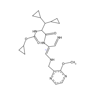 COc1nccnc1CN/C=C(\C=N)NC(=O)C(NC(=O)OC1CC1)C(C1CC1)C1CC1